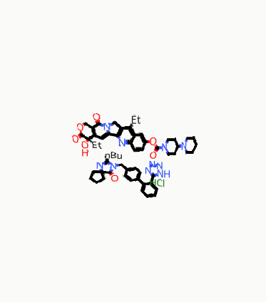 CCCCC1=NC2(CCCC2)C(=O)N1Cc1ccc(-c2ccccc2-c2nnn[nH]2)cc1.CCc1c2c(nc3ccc(OC(=O)N4CCC(N5CCCCC5)CC4)cc13)-c1cc3c(c(=O)n1C2)COC(=O)[C@]3(O)CC.Cl